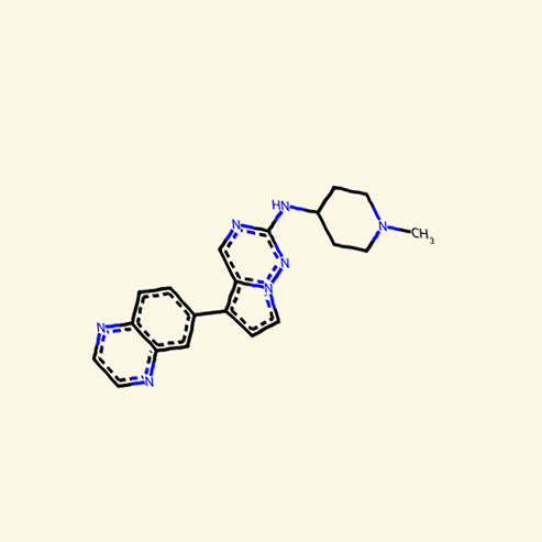 CN1CCC(Nc2ncc3c(-c4ccc5nccnc5c4)ccn3n2)CC1